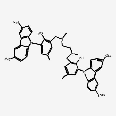 CSc1ccc2c(c1)c1cc(SC)ccc1n2-c1cc(C)cc(CN(C)CCN(C)Cc2cc(C)cc(-n3c4ccc(SC)cc4c4cc(SC)ccc43)c2O)c1O